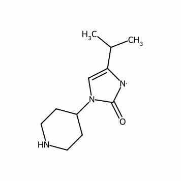 CC(C)C1=CN(C2CCNCC2)C(=O)[N]1